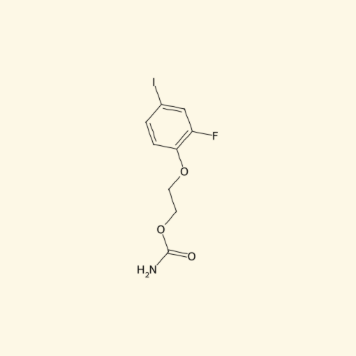 NC(=O)OCCOc1ccc(I)cc1F